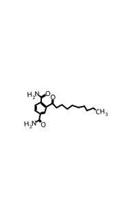 CCCCCCCCCC(=O)c1cc(C(N)=O)ccc1C(N)=O